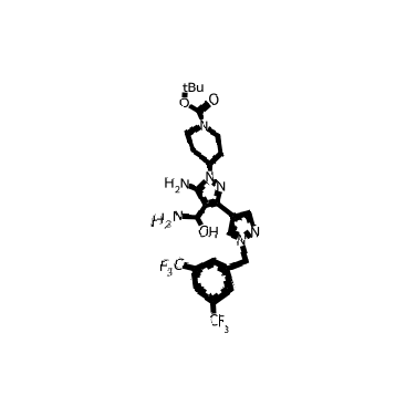 CC(C)(C)OC(=O)N1CCC(n2nc(-c3cnn(Cc4cc(C(F)(F)F)cc(C(F)(F)F)c4)c3)c(C(N)O)c2N)CC1